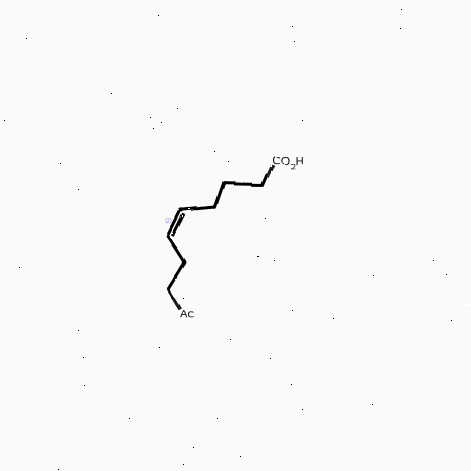 CC(=O)CC/C=C\CCCC(=O)O